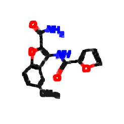 COc1ccc2oc(C(N)=O)c(NC(=O)c3ccco3)c2c1